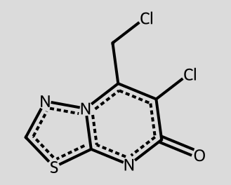 O=c1nc2scnn2c(CCl)c1Cl